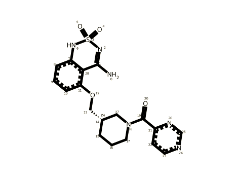 NC1=NS(=O)(=O)Nc2cccc(OC[C@H]3CCCN(C(=O)c4ccncn4)C3)c21